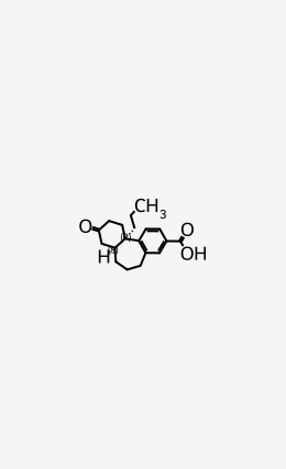 CCC[C@@]12CCC(=O)C[C@@H]1CCCc1cc(C(=O)O)ccc12